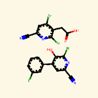 N#Cc1cc(-c2cccc(F)c2)c(O)c(Br)n1.N#Cc1cc(Br)c(CC(=O)O)c(Br)n1